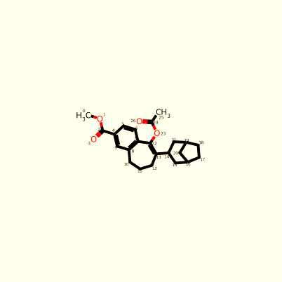 COC(=O)c1ccc2c(c1)CCCC(C1CC3CCC(C3)C1)=C2OC(C)=O